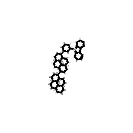 c1ccc2c(c#1)c1ccccc1n2-c1cccc(-c2ccc3ccc4c(-c5ccc6ccc7cccc8ccc5c6c78)ccc5ccc2c3c54)c1